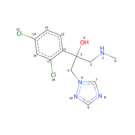 CNCC(O)(Cn1cncn1)c1ccc(Cl)cc1Cl